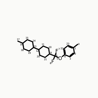 Cc1ccc(OC(F)(F)C2CCC(C3CCC(C)CC3)CC2)cc1